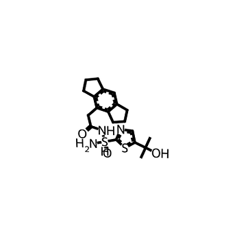 CC(C)(O)c1cnc([SH](N)(=O)NC(=O)Cc2c3c(cc4c2CCC4)CCC3)s1